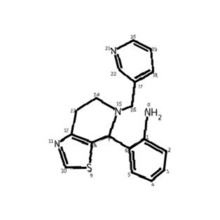 Nc1ccccc1C1c2scnc2CCN1Cc1cccnc1